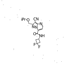 CC(C)OCc1nn2c(C(=O)NC3CC(F)(F)C3)ccnc2c1C#N